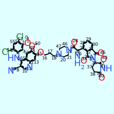 COc1cc(Nc2c(C#N)cnc3cc(OCCCN4CCN(C(=O)C(N)c5cccc6c5C(=O)N(C5CCC(=O)NC5=O)C6=O)CC4)c(OC)cc23)c(Cl)cc1Cl